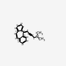 CN(C)CC#CC=C1c2ccccc2C=Cc2ccccc21